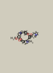 COc1cc2c3c4c1Oc1cc5c(cc1O4)C(Cc1ccc(OCCC4CCCN4C)c(c1)Oc1ccc(cc1)CC3N(C)CC2)N(C)CC5